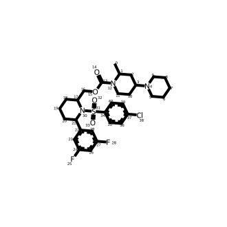 CC1CC(N2CCCCC2)CCN1C(=O)OCC1CCCC(c2cc(F)cc(F)c2)N1S(=O)(=O)c1ccc(Cl)cc1